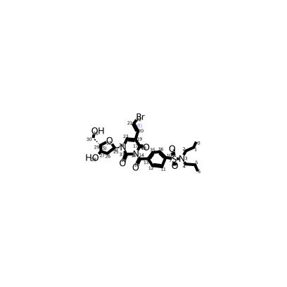 CCCN(CCC)S(=O)(=O)c1ccc(C(=O)n2c(=O)c(/C=C/Br)cn([C@@H]3CC(O)[C@H](CO)O3)c2=O)cc1